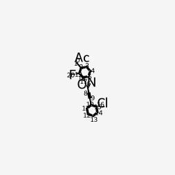 CC(=O)Cc1ccc2nc(C#Cc3ccccc3Cl)oc2c1F